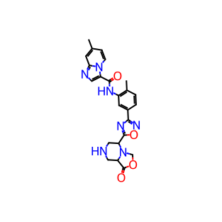 Cc1ccn2c(C(=O)Nc3cc(-c4noc(C5CNCC6C(=O)OCN65)n4)ccc3C)cnc2c1